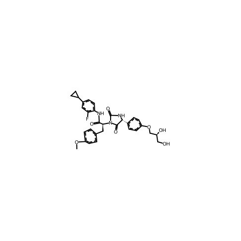 COc1ccc(C[C@@H](C(=O)Nc2ccc(C3CC3)cc2F)N2C(=O)N[C@H](c3ccc(OC[C@@H](O)CO)cc3)C2=O)cc1